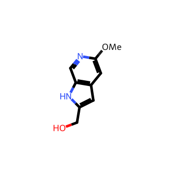 COc1cc2cc(CO)[nH]c2cn1